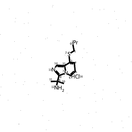 CC(C)CSc1cccn2c(C(C)(C)N)ncc12.Cl